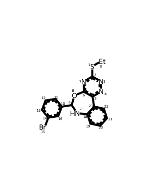 CCSc1nnc2c(n1)OC(c1cccc(Br)c1)Nc1ccccc1-2